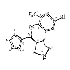 FC(F)(F)c1cc(Cl)ccc1OC(c1ncco1)[C@H]1CCNC1